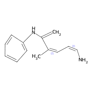 C=C(Nc1ccccc1)/C(C)=C\C=C/N